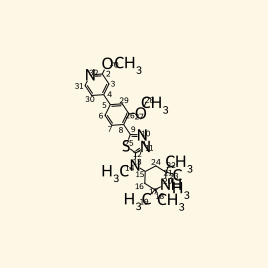 COc1cc(-c2ccc(-c3nnc(N(C)C4CC(C)(C)NC(C)(C)C4)s3)c(OC)c2)ccn1